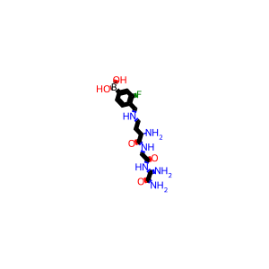 NC(=O)C(N)NC(=O)CNC(=O)[C@@H](N)CCNCc1ccc(B(O)O)cc1F